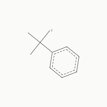 [CH]C(C)(C)c1ccccc1